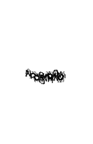 CN(C)C1Cc2ccc(S(=O)(=O)NCc3ccc(C(=O)Nc4ccccn4)cc3)cc2C1